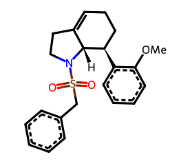 COc1ccccc1[C@@H]1CCC=C2CCN(S(=O)(=O)Cc3ccccc3)[C@H]21